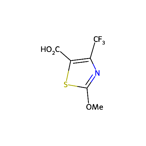 COc1nc(C(F)(F)F)c(C(=O)O)s1